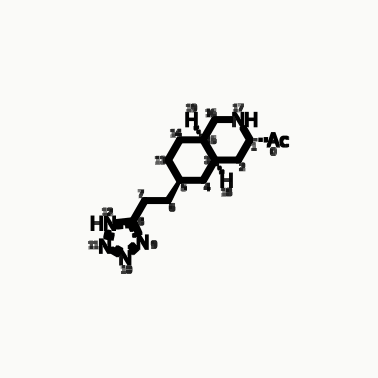 CC(=O)[C@@H]1C[C@H]2C[C@@H](CCc3nnn[nH]3)CC[C@H]2CN1